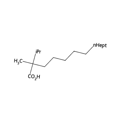 CCCCCCCCCCCCC(C)(C(=O)O)C(C)C